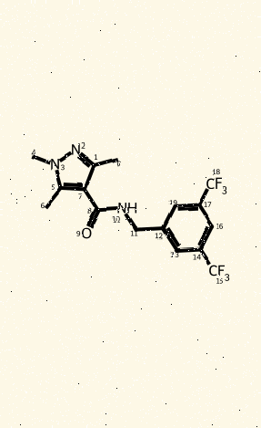 Cc1nn(C)c(C)c1C(=O)NCc1cc(C(F)(F)F)cc(C(F)(F)F)c1